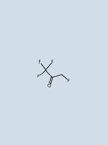 O=C(CF)C(F)(F)F